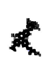 COC(=O)/C=C/c1ccc(C2c3ccc(B4OC(C)(C)C(C)(C)O4)cc3CC(C)N2c2ccc(C3CC3)cc2)cc1